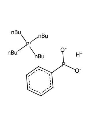 CCCC[P+](CCCC)(CCCC)CCCC.[H+].[O-]P([O-])c1ccccc1